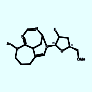 COC[C@@H]1CC(F)[C@H](N2C=C3CCCN(C(C)=O)C4=NC=NC2CC34)O1